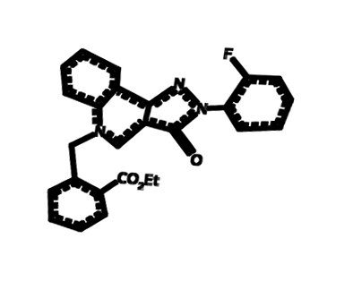 CCOC(=O)c1ccccc1Cn1cc2c(=O)n(-c3ccccc3F)nc-2c2ccccc21